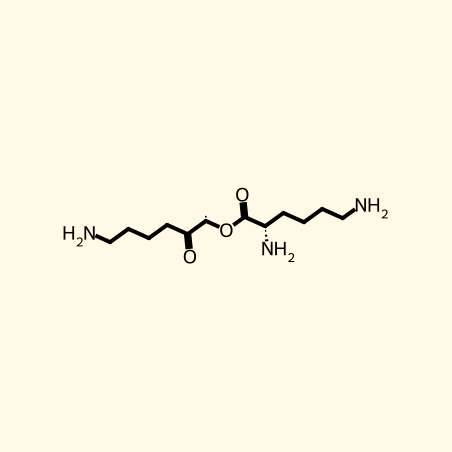 NCCCCC(=O)[CH]OC(=O)[C@@H](N)CCCCN